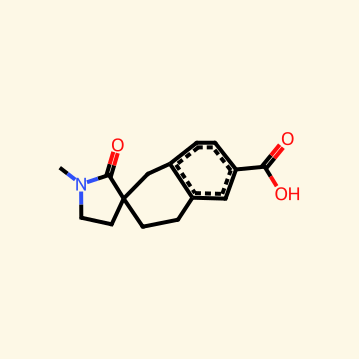 CN1CCC2(CCc3cc(C(=O)O)ccc3C2)C1=O